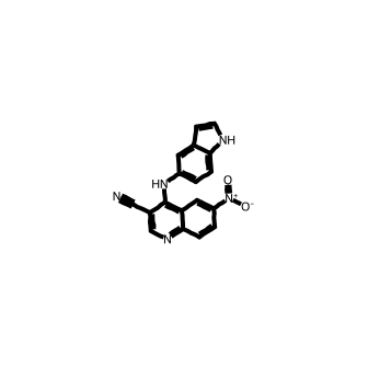 N#Cc1cnc2ccc([N+](=O)[O-])cc2c1Nc1ccc2[nH]ccc2c1